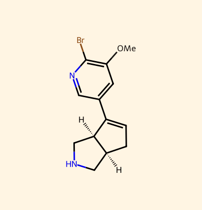 COc1cc(C2=CC[C@H]3CNC[C@@H]23)cnc1Br